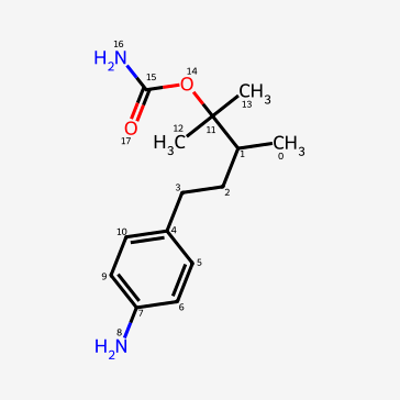 CC(CCc1ccc(N)cc1)C(C)(C)OC(N)=O